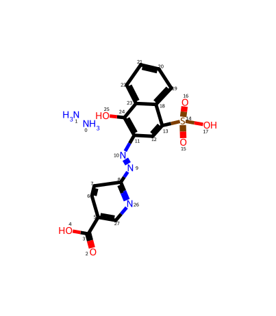 N.N.O=C(O)c1ccc(/N=N/c2cc(S(=O)(=O)O)c3ccccc3c2O)nc1